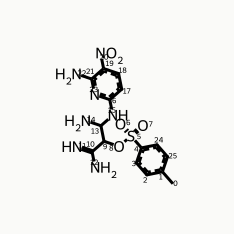 Cc1ccc(S(=O)(=O)OC(C(=N)N)C(N)Nc2ccc([N+](=O)[O-])c(N)n2)cc1